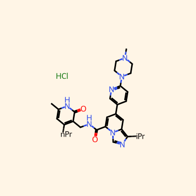 CCCc1cc(C)[nH]c(=O)c1CNC(=O)c1cc(-c2ccc(N3CCN(C)CC3)nc2)cc2c(C(C)C)ncn12.Cl